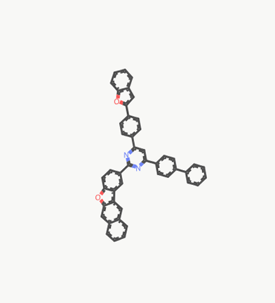 c1ccc(-c2ccc(-c3cc(-c4ccc(-c5cc6ccccc6o5)cc4)nc(-c4ccc5oc6cc7ccccc7cc6c5c4)n3)cc2)cc1